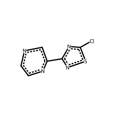 Clc1nc(-c2cnccn2)ns1